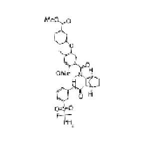 COC(=O)C1CCCC(Oc2cc(C(=O)N(C)[C@@H]3[C@H]4CC[C@H](C4)[C@@H]3C(=O)Nc3cccc(S(=O)(=O)C(C)(F)P)c3)c(OC)cc2C)C1